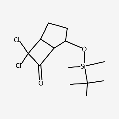 CC(C)(C)[Si](C)(C)OC1CCC2C1C(=O)C2(Cl)Cl